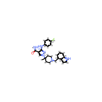 CC1(n2cc(C(N)=O)c(Nc3ccc(F)cc3)n2)CCN(Cc2cccc3[nH]ccc23)CC1